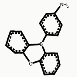 Nc1ccc(B2c3ccccc3Oc3ccccc32)cc1